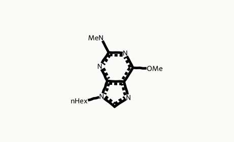 CCCCCCn1cnc2c(OC)nc(NC)nc21